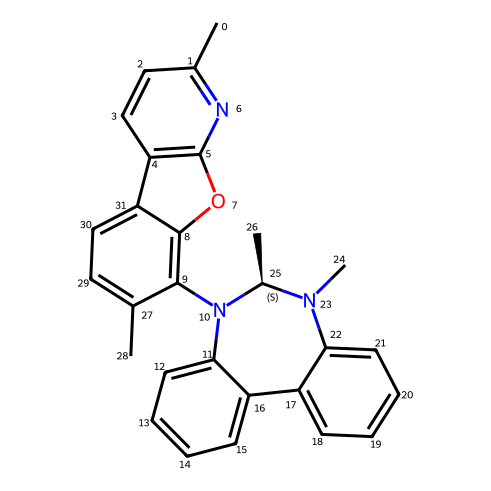 Cc1ccc2c(n1)oc1c(N3c4ccccc4-c4ccccc4N(C)[C@@H]3C)c(C)ccc12